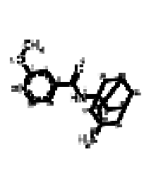 COc1cc(C(=O)NC23CC4CC(CC(N)(C4)C2)C3)ccn1